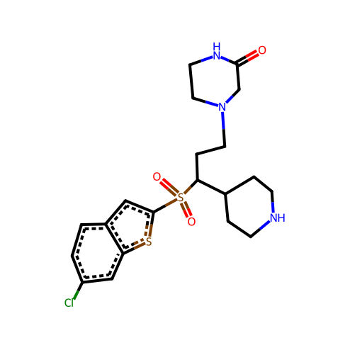 O=C1CN(CCC(C2CCNCC2)S(=O)(=O)c2cc3ccc(Cl)cc3s2)CCN1